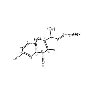 CCCCCCC=CC(O)c1[nH]c2ccc(F)cc2c(=O)c1C